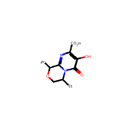 CCC1COC(C(C)C)c2nc(C(=O)O)c(O)c(=O)n21